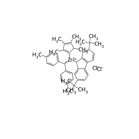 CC1=C(C)C(C)[C]([Zr+2](=[C](c2ccc(C)cc2)c2ccc(C)cc2)[CH]2c3cc(C(C)(C)C)ccc3-c3ccc(C(C)(C)C)cc32)=C1C.[Cl-].[Cl-]